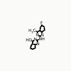 Cc1nc(Nc2nc(O)c3ccccc3n2)nc2ccc(F)cc12